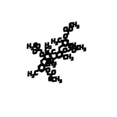 COC(=O)COc1cc(C)cc(Cc2c(C)c(Cc3cc(C)c(OCC(=O)OC)c(Cc4cc(C)cc(OCC(=O)OC)c4C)c3C)cc(C)c2OCC(=O)OC)c1C